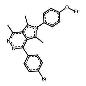 CCOc1ccc(-n2c(C)c3c(C)nnc(-c4ccc(Br)cc4)c3c2C)cc1